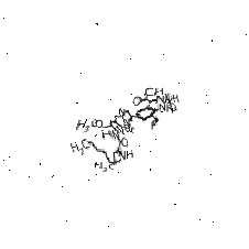 C=CCCC[C@]1(C)CN[C@H](C(=O)Nc2nc(Br)c(Cc3ncc(-c4cc(CF)c(NCC(=O)O)c(C(=N)C(C)=O)c4)cn3)cc2COC)C1